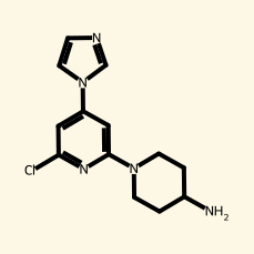 NC1CCN(c2cc(-n3ccnc3)cc(Cl)n2)CC1